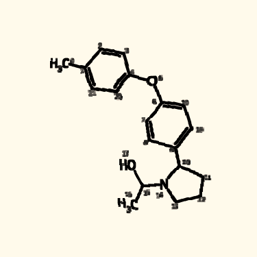 Cc1ccc(Oc2ccc(C3CCCN3C(C)O)cc2)cc1